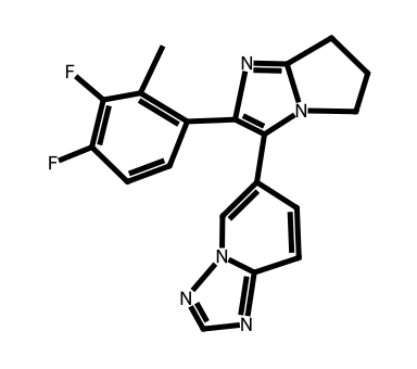 Cc1c(-c2nc3n(c2-c2ccc4ncnn4c2)CCC3)ccc(F)c1F